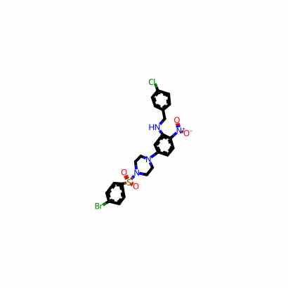 O=[N+]([O-])c1ccc(N2CCN(S(=O)(=O)c3ccc(Br)cc3)CC2)cc1NCc1ccc(Cl)cc1